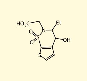 CCC1C(O)c2ccsc2S(=O)(=O)N1CC(=O)O